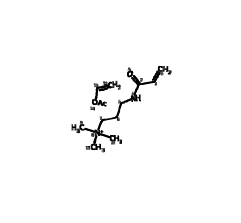 C=CC(=O)NCCC[N+](C)(C)C.C=COC(C)=O